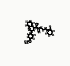 CCOc1ccc(-c2cc(C(=O)NCCCN3CCCCC3C)c3ccccc3n2)cc1